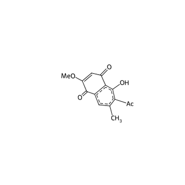 COC1=CC(=O)c2c(cc(C)c(C(C)=O)c2O)C1=O